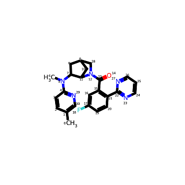 Cc1ccc(N(C)C2CC3CC2N(C(=O)c2cc(F)ccc2-c2ncccn2)C3)nc1